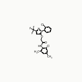 Cc1cc(C)c(NC(=O)COc2cc(C(F)(F)F)nn2-c2ccccc2Cl)c(Cl)c1